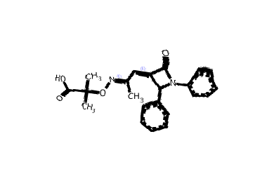 CC(/C=C1/C(=O)N(c2ccccc2)C1c1ccccc1)=N\OC(C)(C)C(=O)O